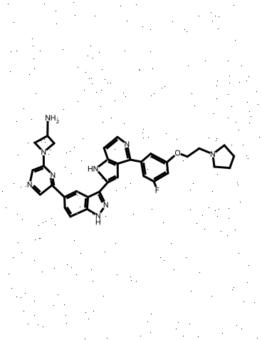 NC1CN(c2cncc(-c3ccc4[nH]nc(-c5cc6c(-c7cc(F)cc(OCCN8CCCC8)c7)nccc6[nH]5)c4c3)n2)C1